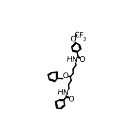 O=C(NCCCC(CCCNC(=O)c1ccc(OC(F)(F)F)cc1)OCc1ccccc1)c1ccccc1